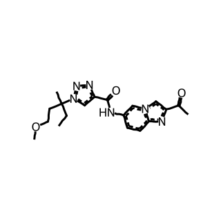 CCC(C)(CCOC)n1cc(C(=O)Nc2ccc3nc(C(C)=O)cn3c2)nn1